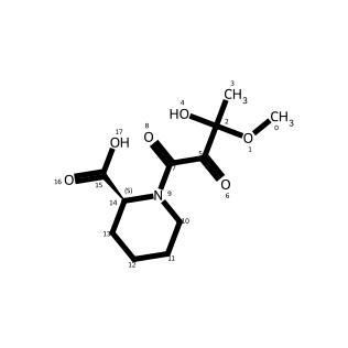 COC(C)(O)C(=O)C(=O)N1CCCC[C@H]1C(=O)O